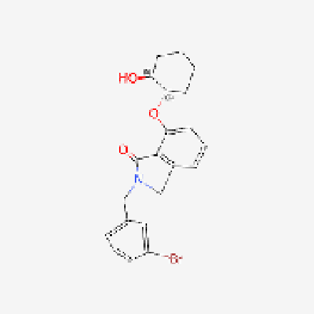 O=C1c2c(cccc2O[C@H]2CCCC[C@@H]2O)CN1Cc1cccc(Br)c1